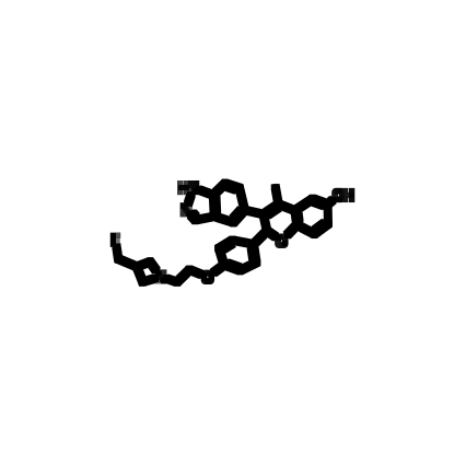 CC1=C(c2ccc3[nH]ncc3c2)C(c2ccc(OCCN3CC(CF)C3)cc2)Oc2ccc(O)cc21